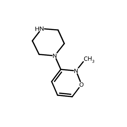 CN1OC=CC=C1N1CCNCC1